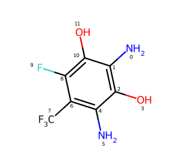 Nc1c(O)c(N)c(C(F)(F)F)c(F)c1O